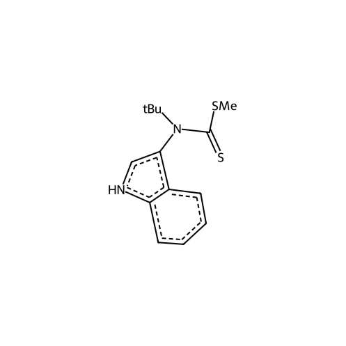 CSC(=S)N(c1c[nH]c2ccccc12)C(C)(C)C